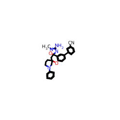 CN1OC2(CC3(CCCN(c4ccccc4)C3)Oc3ccc(-c4cccc(C#N)c4)cc32)N=C1N